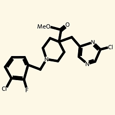 COC(=O)C1(Cc2cncc(Cl)n2)CCN(Cc2cccc(Cl)c2F)CC1